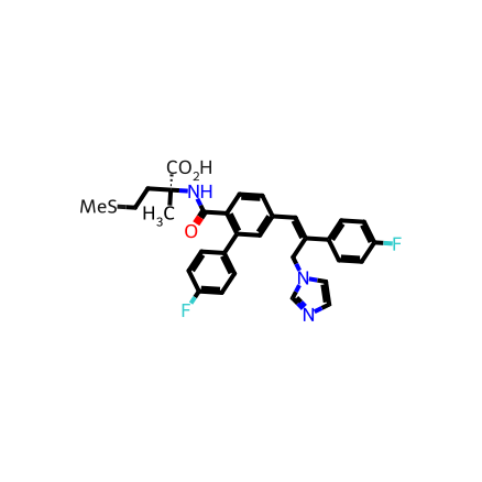 CSCC[C@](C)(NC(=O)c1ccc(C=C(Cn2ccnc2)c2ccc(F)cc2)cc1-c1ccc(F)cc1)C(=O)O